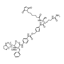 CO[C@@H]([C@H](C)C(C)N[C@H](Cc1ccccc1)C(=O)Nc1ccc(NC(=O)OCc2ccc(NC(=O)[C@H](CCCNC(N)=O)[C@@H](NC(=O)CCCCCC3C(=O)C=CC3=O)C(C)C)cc2)cc1)[C@H]1CCCN1